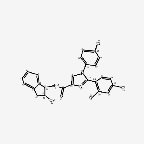 O=C(N[C@@H]1c2ccccc2C[C@@H]1O)c1cn(-c2ccc(Cl)cc2)c(-c2ccc(Cl)cc2Cl)n1